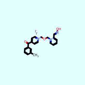 Cc1cccc(C(=O)c2cc[n+](COC[n+]3ccccc3C=NO)cc2)c1.[I-].[I-]